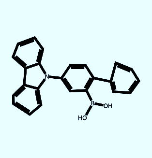 OB(O)c1cc(-n2c3ccccc3c3ccccc32)ccc1-c1ccccc1